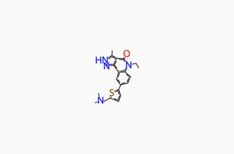 CCn1c(=O)c2c(C)[nH]nc2c2cc(-c3ccc(CN(C)C)s3)ccc21